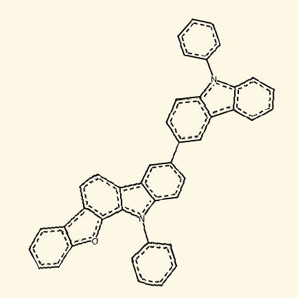 c1ccc(-n2c3ccccc3c3cc(-c4ccc5c(c4)c4ccc6c7ccccc7oc6c4n5-c4ccccc4)ccc32)cc1